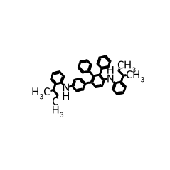 CCC(C)c1ccccc1Nc1ccc(-c2ccc(Nc3ccccc3C(C)CC)c(-c3ccccc3)c2-c2ccccc2)cc1